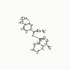 COc1ccc(C(=O)CC(=O)c2ccccc2C(=O)[O-])cc1.[K+]